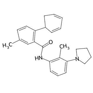 Cc1ccc(C2C=CC=CC2)c(C(=O)Nc2cccc(N3CCCC3)c2C)c1